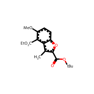 CCOC(=O)c1c(OC)ccc2oc(C(=O)OC(C)(C)C)c(C)c12